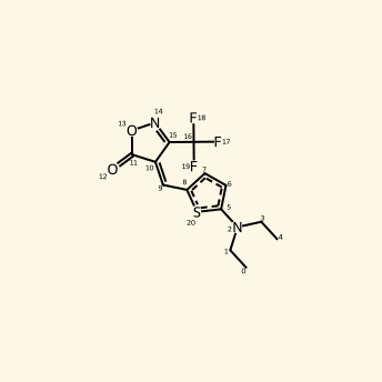 CCN(CC)c1ccc(/C=C2/C(=O)ON=C2C(F)(F)F)s1